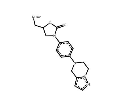 CC(=O)NCC1CN(c2ccc(N3CCn4ncnc4C3)cc2)C(=O)O1